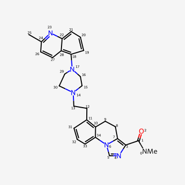 CNC(=O)c1ncn2c1CCc1c(CCN3CCN(c4cccc5nc(C)ccc45)CC3)cccc1-2